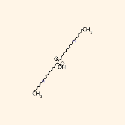 CCCCCC/C=C/CCCCCCCCCC(=O)C(CCCCCCCC/C=C/CCCCCC)C(=O)O